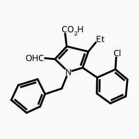 CCc1c(C(=O)O)c(C=O)n(Cc2ccccc2)c1-c1ccccc1Cl